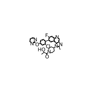 Cc1nc2cnc3cc(F)c(-c4ccc(Oc5ncccn5)cc4Cl)cc3c2n1C1CCN(C(=O)C(C)O)CC1